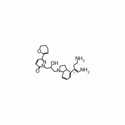 N/C=C(\CCN)C1=CC=CC2C1CCN2CC(O)Cn1nc(C2=CCCCO2)ccc1=O